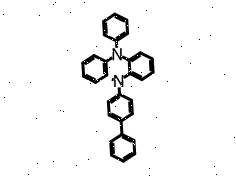 CN(c1ccc(-c2ccccc2)cc1)c1ccccc1N(c1ccccc1)c1ccccc1